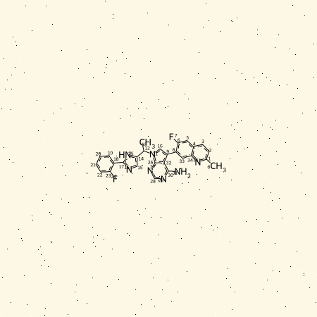 Cc1ccc2cc(F)c(-c3cn(C(C)c4cnc(-c5ccccc5F)[nH]4)c4ncnc(N)c34)cc2n1